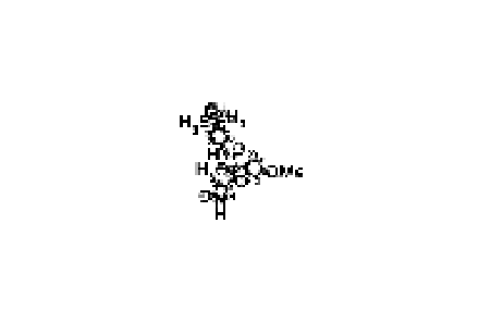 COc1ccc(C(C(=O)Nc2ccc(S(C)(C)C)cc2)N(C)C(=O)C2CNC(=O)C2)cc1